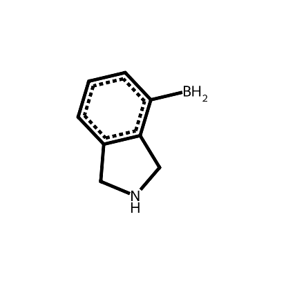 Bc1cccc2c1CNC2